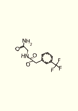 NC(=O)CNS(=O)(=O)Cc1cccc(C(F)(F)F)c1